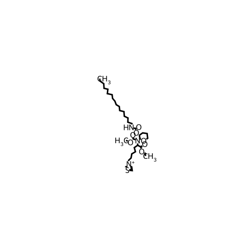 CCCCCCCCCCCCCCCCCNC(=O)OC1CCCOC1N(C(=O)OC)C(CCCCC[n+]1ccsc1)C(=O)OCC